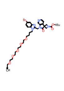 C#CCOCCOCCOCCOCCOCCCCn1c(CN2C(=O)C3(CN(C(=O)OC(C)(C)C)C3)c3ccncc32)nc2cc(Br)ccc21